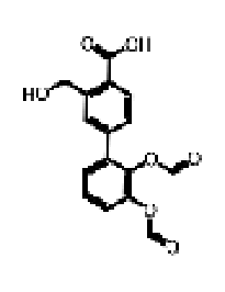 O=COc1cccc(-c2ccc(C(=O)O)c(CO)c2)c1OC=O